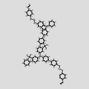 C=Cc1ccc(COCc2ccc(-c3ccc(N(c4ccc5c(c4)C(C)(C)c4ccccc4-5)c4ccc5c(c4)C(C)(C)c4cc(-c6ccc7c(c6)c6cc(COCc8ccc(C=C)cc8)ccc6n7-c6ccccc6)ccc4-5)cc3)cc2)cc1